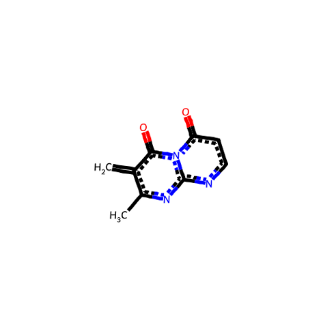 C=c1c(C)nc2nccc(=O)n2c1=O